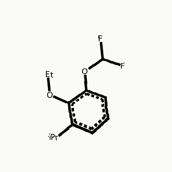 CCOc1c(OC(F)F)cccc1[C](C)C